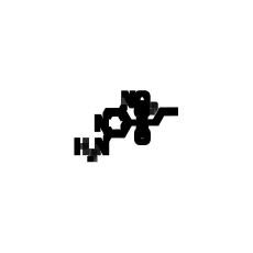 C=CCS(=O)(=O)c1cc(N)ncc1[N+](=O)[O-]